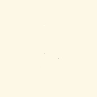 Cc1cc(O)c(C(C)(C)CC(C)(C)C)cc1CCl